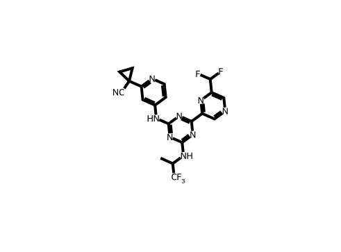 CC(Nc1nc(Nc2ccnc(C3(C#N)CC3)c2)nc(-c2cncc(C(F)F)n2)n1)C(F)(F)F